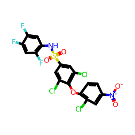 O=[N+]([O-])c1ccc(Oc2c(Cl)cc(S(=O)(=O)Nc3cc(F)c(F)cc3F)cc2Cl)c(Cl)c1